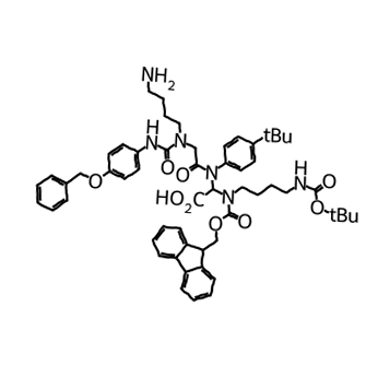 CC(C)(C)OC(=O)NCCCCN(C(=O)OCC1c2ccccc2-c2ccccc21)C(C(=O)O)N(C(=O)CN(CCCCN)C(=O)Nc1ccc(OCc2ccccc2)cc1)c1ccc(C(C)(C)C)cc1